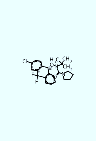 CC(C)(C)N(O[C@@H](c1ccc(Cl)cc1)c1ccccc1C(F)(F)F)C(=O)N1CCCC1